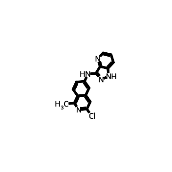 Cc1nc(Cl)cc2cc(Nc3n[nH]c4cccnc34)ccc12